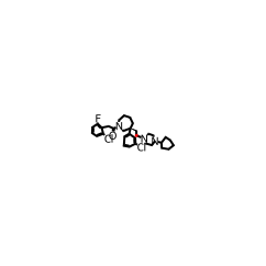 O=C(Cc1c(F)cccc1Cl)N1CCCC[C@](CCN2CCN(C3CCCCC3)CC2)(c2cccc(Cl)c2)C1